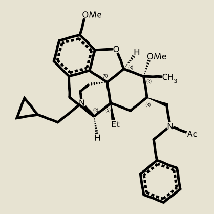 CC[C@]12C[C@H](CN(Cc3ccccc3)C(C)=O)[C@@](C)(OC)[C@@H]3Oc4c(OC)ccc5c4[C@@]31CCN(CC1CC1)[C@@H]2C5